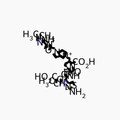 CN(C)/C=N\C(=N)c1coc(Cn2ccc3c[n+](CC4=C(C(=O)O)N5C(=O)[C@@H](NC(=O)/C(=N\OC(C)(C)C(=O)O)c6csc(N)n6)[C@H]5SC4)ccc32)n1